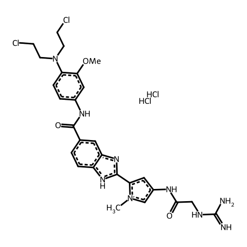 COc1cc(NC(=O)c2ccc3[nH]c(-c4cc(NC(=O)CNC(=N)N)cn4C)nc3c2)ccc1N(CCCl)CCCl.Cl.Cl